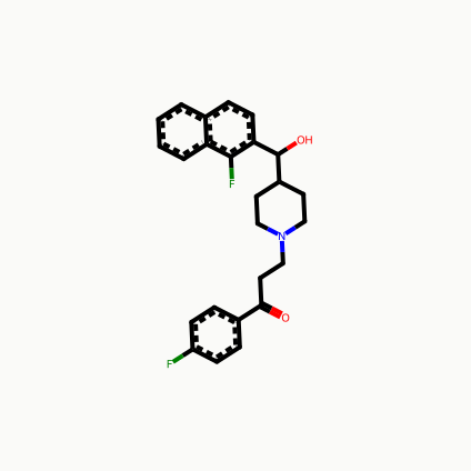 O=C(CCN1CCC(C(O)c2ccc3ccccc3c2F)CC1)c1ccc(F)cc1